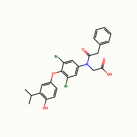 CC(C)c1cc(Oc2c(Br)cc(N(CC(=O)O)C(=O)Cc3ccccc3)cc2Br)ccc1O